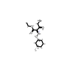 CCOC(=O)/C(=N\O[C@@H]1CCC[C@H](C)C1)C(=O)CBr